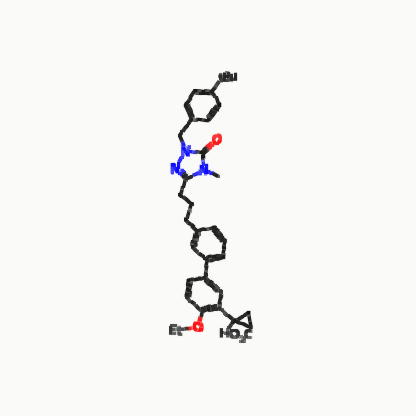 CCOc1ccc(-c2cccc(CCCc3nn(Cc4ccc(C(C)(C)C)cc4)c(=O)n3C)c2)cc1C1(C(=O)O)CC1